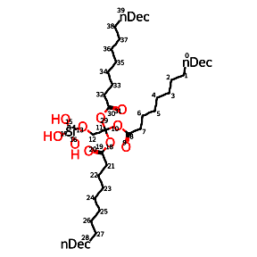 CCCCCCCCCCCCCCCCCC(=O)OC(CO[Si](O)(O)O)(OC(=O)CCCCCCCCCCCCCCCCC)OC(=O)CCCCCCCCCCCCCCCCC